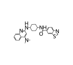 CN(C)c1cc(NC2CCC(NC(=O)c3ccc4ncsc4c3)CC2)nc2ccccc12